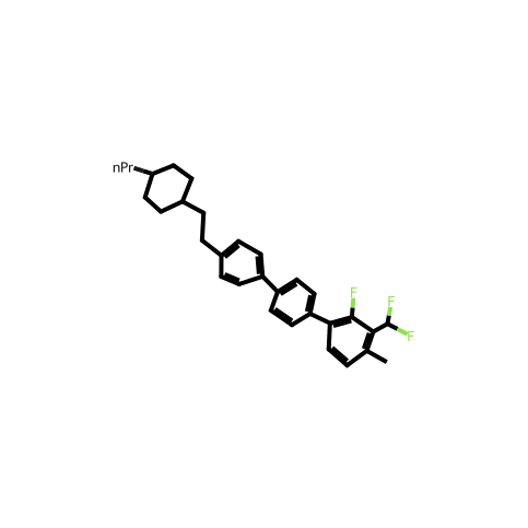 CCCC1CCC(CCc2ccc(-c3ccc(-c4ccc(C)c(C(F)F)c4F)cc3)cc2)CC1